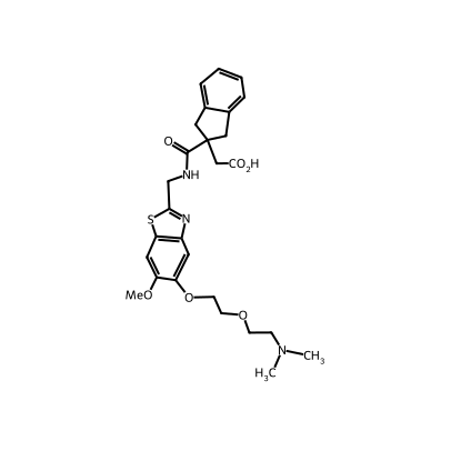 COc1cc2sc(CNC(=O)C3(CC(=O)O)Cc4ccccc4C3)nc2cc1OCCOCCN(C)C